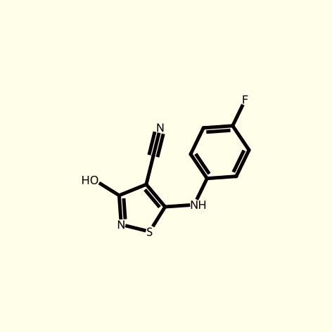 N#Cc1c(O)nsc1Nc1ccc(F)cc1